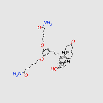 C[C@]12C[C@H](CCCc3cc(OCCCCCC(N)=O)cc(OCCCCCC(N)=O)c3)[C@H]3[C@@H](CCC4CC(=O)CC[C@@]43C)[C@@H]1CC[C@@H]2O